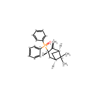 C=C1[C@@H]2C[C@H](C[C@@H]1P(=O)(c1ccccc1)c1ccccc1)C2(C)C